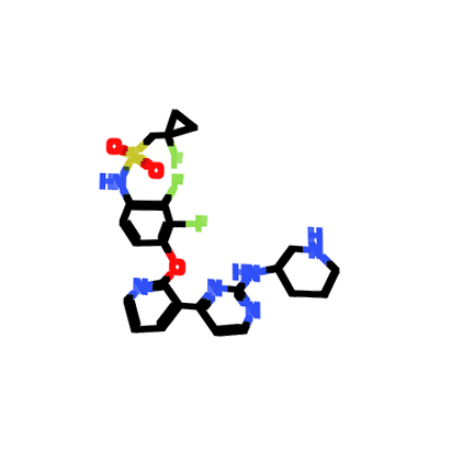 O=S(=O)(CC1(F)CC1)Nc1ccc(Oc2ncccc2-c2ccnc(NC3CCCNC3)n2)c(F)c1F